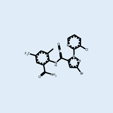 Cc1cc(C(F)(F)F)cc(C(N)=O)c1NC(=C=O)c1cc(Br)nn1-c1ncccc1Cl